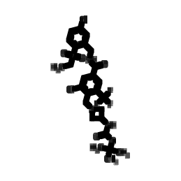 CCS(=O)(=O)c1ccc(Cl)cc1CNC(=O)c1cc(Cl)c(CN2CC(NC(=O)OC(C)(C)C)C2)c(C(F)(F)F)c1